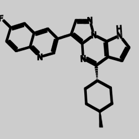 C[C@H]1CC[C@H](c2nc3c(-c4cnc5ccc(F)cc5c4)cnn3c3[nH]ccc32)CC1